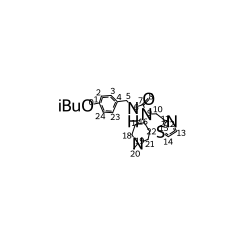 CC(C)COc1ccc(CNC(=O)N(Cc2nccs2)C2CCN(C)CC2)cc1